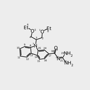 CCOCC(COCC)n1c2ccccc2c2ccc(C(=O)N=C(N)N)cc21